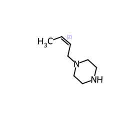 C/C=C\CN1CCNCC1